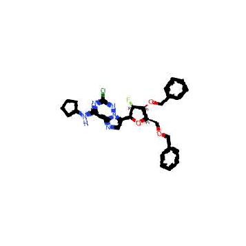 F[C@@H]1C(c2cnc3c(NC4CCCC4)nc(Cl)nn23)O[C@H](COCc2ccccc2)[C@H]1OCc1ccccc1